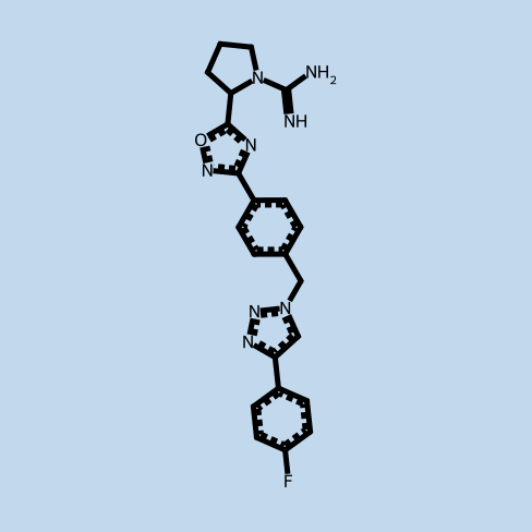 N=C(N)N1CCCC1c1nc(-c2ccc(Cn3cc(-c4ccc(F)cc4)nn3)cc2)no1